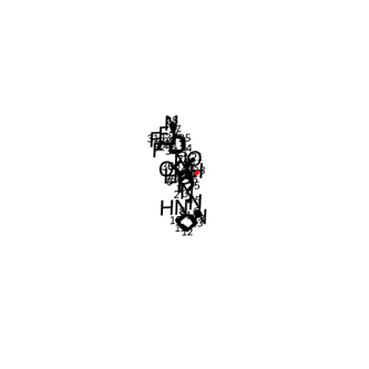 C[C@]12CN(/C(=N/C#N)Nc3ccccc3)C[C@](C)(O1)[C@H]1C(=O)N(c3ccc(C#N)c(C(F)(F)F)c3)C(=O)[C@H]12